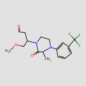 COCC(CC=O)N1CCN(c2cccc(C(F)(F)F)c2)C(C)C1=O